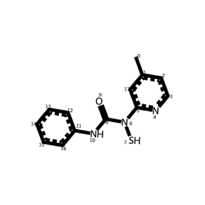 Cc1ccnc(N(S)C(=O)Nc2ccccc2)c1